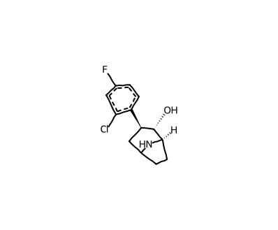 O[C@@H]1[C@H]2CCC(C[C@H]1c1ccc(F)cc1Cl)N2